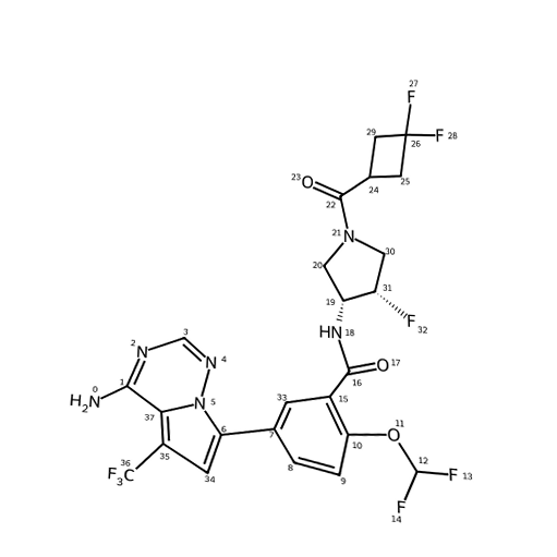 Nc1ncnn2c(-c3ccc(OC(F)F)c(C(=O)N[C@@H]4CN(C(=O)C5CC(F)(F)C5)C[C@@H]4F)c3)cc(C(F)(F)F)c12